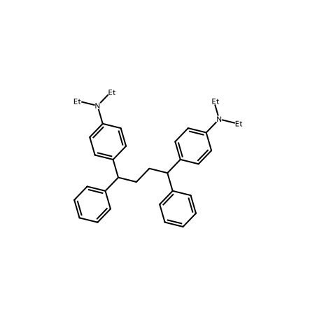 CCN(CC)c1ccc(C(CCC(c2ccccc2)c2ccc(N(CC)CC)cc2)c2ccccc2)cc1